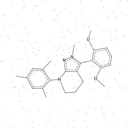 COc1cccc(OC)c1-c1c2c(nn1C)N(c1c(C)cc(C)cc1C)CCC2